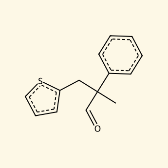 CC(C=O)(Cc1cccs1)c1ccccc1